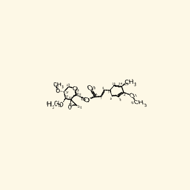 COC1=CCC(/C=C/C(=O)O[C@@H]2OC[C@@H](OC)C(OC)C23CO3)C=C1C